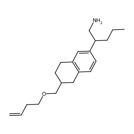 C=CCCOCC1CCc2cc(C(CN)CCC)ccc2C1